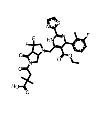 CCOC(=O)C1=C(CN2CC(F)(F)C3C(=O)N(C(=O)CC(C)(C)C(=O)O)CC32)NC(c2nccs2)=NC1c1cccc(F)c1C